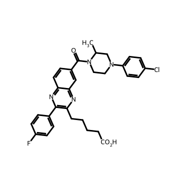 CC1CN(c2ccc(Cl)cc2)CCN1C(=O)c1ccc2nc(-c3ccc(F)cc3)c(CCCCC(=O)O)nc2c1